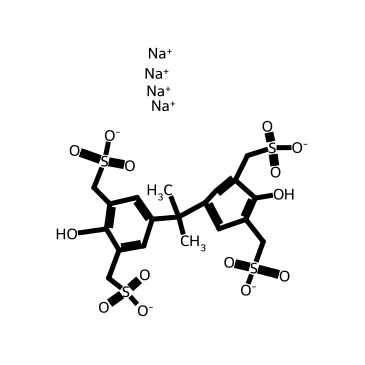 CC(C)(c1cc(CS(=O)(=O)[O-])c(O)c(CS(=O)(=O)[O-])c1)c1cc(CS(=O)(=O)[O-])c(O)c(CS(=O)(=O)[O-])c1.[Na+].[Na+].[Na+].[Na+]